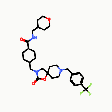 O=C(NCC1CCOCC1)C1CCC(CN2CC3(CCN(Cc4ccc(C(F)(F)F)cc4)CC3)OC2=O)CC1